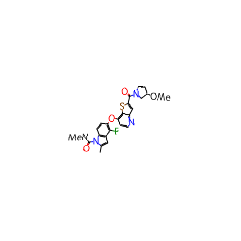 CNC(=O)n1c(C)cc2c(F)c(Oc3ccnc4cc(C(=O)N5CC[C@@H](OC)C5)sc34)ccc21